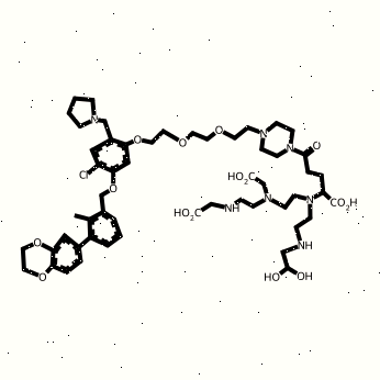 Cc1c(COc2cc(OCCOCCOCCN3CCN(C(=O)CCC(C(=O)O)N(CCNCC(O)O)CCN(CCNCC(=O)O)CC(=O)O)CC3)c(CN3CCCC3)cc2Cl)cccc1-c1ccc2c(c1)OCCO2